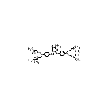 CN(C)CCCN(CCCN(C)C)c1ccc(/N=C2\N=C(N)C(=O)C=C2Nc2ccc(N(CCCN(C)C)CCC[N+](C)(C)C)cc2)cc1